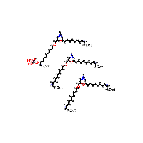 CCCCCCCC/C=C\CCCCCCCCOCC(CN(C)C)OCCCCCCCC/C=C\CCCCCCCC.CCCCCCCC/C=C\CCCCCCCCOCC(CN(C)C)OCCCCCCCC/C=C\CCCCCCCC.CCCCCCCC/C=C\CCCCCCCCOCC(CN(C)C)OCCCCCCCC/C=C\CCCCCCCC.O=P(O)(O)O